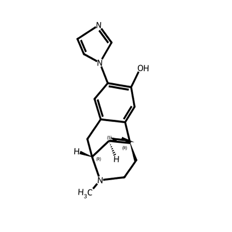 CN1CC[C@]23CCCC[C@@H]2[C@H]1Cc1cc(-n2ccnc2)c(O)cc13